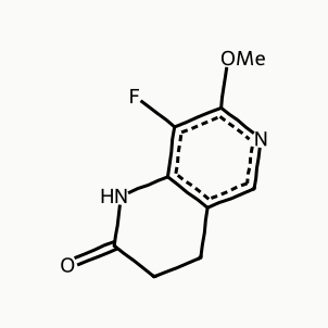 COc1ncc2c(c1F)NC(=O)CC2